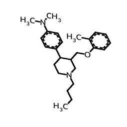 CCCCN1CCC(c2ccc(N(C)C)cc2)C(COc2ccccc2C)C1